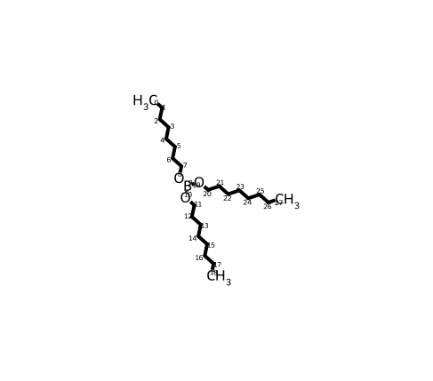 CCCCCCCCOB(OCCCCCCCC)OCCCCCCCC